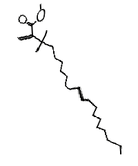 C=C(C(=O)OC)C(C)(C)CCCCCCCCCCCCCCCC